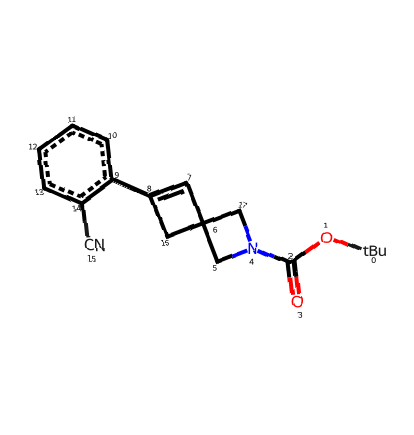 CC(C)(C)OC(=O)N1CC2(C=C(c3ccccc3C#N)C2)C1